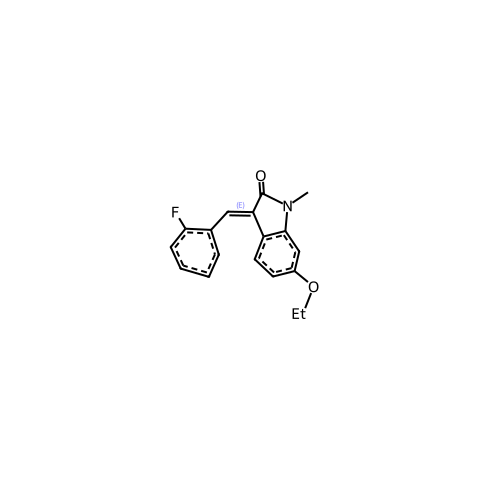 CCOc1ccc2c(c1)N(C)C(=O)/C2=C/c1ccccc1F